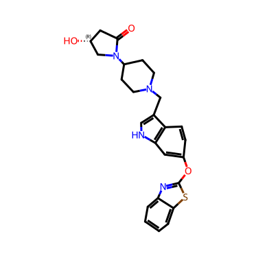 O=C1C[C@@H](O)CN1C1CCN(Cc2c[nH]c3cc(Oc4nc5ccccc5s4)ccc23)CC1